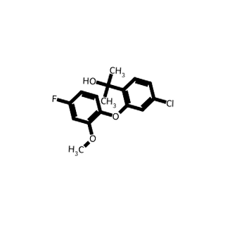 COc1cc(F)ccc1Oc1cc(Cl)ccc1C(C)(C)O